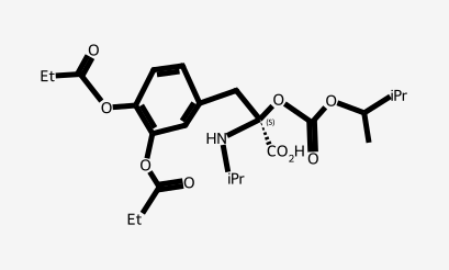 CCC(=O)Oc1ccc(C[C@](NC(C)C)(OC(=O)OC(C)C(C)C)C(=O)O)cc1OC(=O)CC